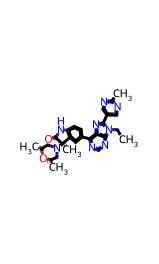 CCn1c(-c2cnc(C)nc2)nc2c(-c3ccc4c(c3)[C@](C)(N3C[C@@H](C)O[C@@H](C)C3)C(=O)N4)ncnc21